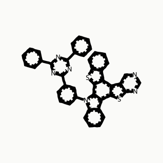 c1ccc(-c2nc(-c3ccccc3)nc(-c3cccc(-n4c5ccccc5c5c6sc7ncncc7c6c6c7ccccc7sc6c54)c3)n2)cc1